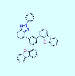 c1ccc(-n2nc3cccc(-c4cc(-c5cccc6c5oc5ccccc56)cc(-c5cccc6c5oc5ccccc56)c4)c3n2)cc1